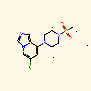 CS(=O)(=O)N1CCN(c2cc(Cl)cn3cncc23)CC1